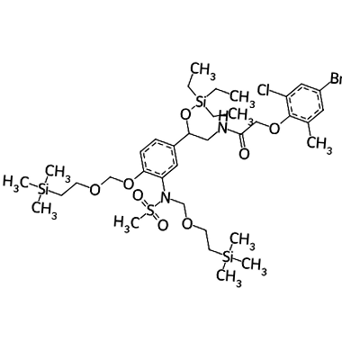 CC[Si](CC)(CC)OC(CNC(=O)COc1c(C)cc(Br)cc1Cl)c1ccc(OCOCC[Si](C)(C)C)c(N(COCC[Si](C)(C)C)S(C)(=O)=O)c1